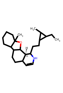 CCC1C(C)C1CCC1NC=CC2CCC3C(OC4(C)CCCCC34)[C@H]21